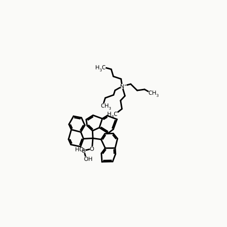 CCCC[N+](CCCC)(CCCC)CCCC.OB(O)OC(c1cccc2ccccc12)(c1cccc2ccccc12)c1cccc2ccccc12